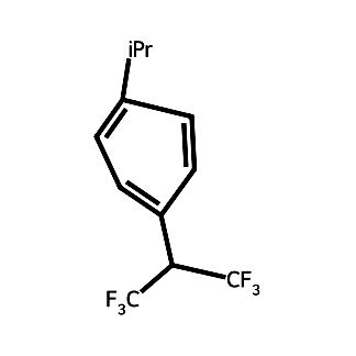 CC(C)c1ccc(C(C(F)(F)F)C(F)(F)F)cc1